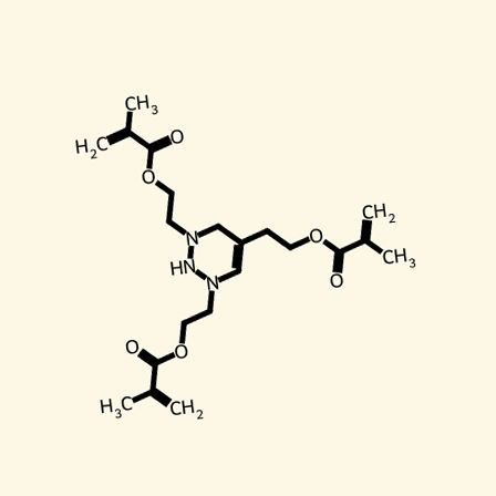 C=C(C)C(=O)OCCC1=CN(CCOC(=O)C(=C)C)NN(CCOC(=O)C(=C)C)C1